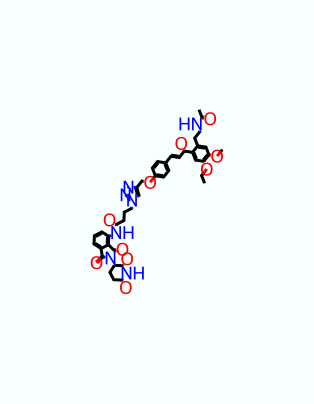 CCOc1cc(C(=O)/C=C/c2ccc(OCc3cn(CCCC(=O)Nc4cccc5c4C(=O)N(C4CCC(=O)NC4=O)C5=O)nn3)cc2)c(CCNC(C)=O)cc1OC